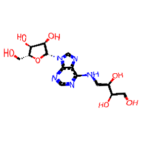 OCC(O)C(O)CNc1ncnc2c1ncn2[C@@H]1O[C@H](CO)[C@@H](O)[C@H]1O